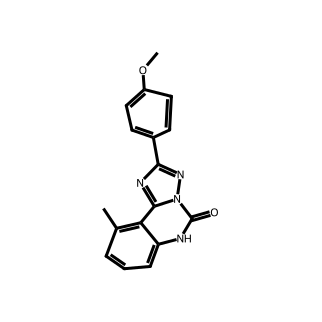 COc1ccc(-c2nc3c4c(C)cccc4[nH]c(=O)n3n2)cc1